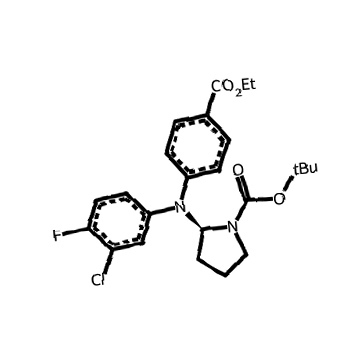 CCOC(=O)c1ccc(N(c2ccc(F)c(Cl)c2)[C@@H]2CCCN2C(=O)OC(C)(C)C)cc1